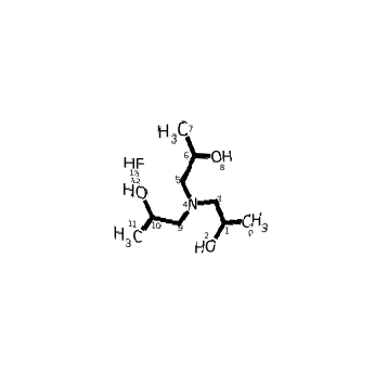 CC(O)CN(CC(C)O)CC(C)O.F